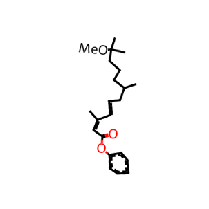 COC(C)(C)CCCC(C)CC=CC(C)=CC(=O)Oc1ccccc1